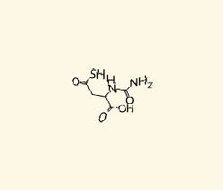 NC(=O)NC(CC(=O)S)C(=O)O